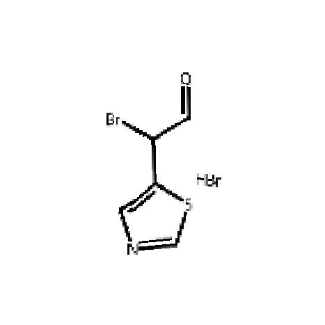 Br.O=CC(Br)c1cncs1